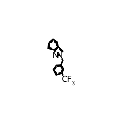 FC(F)(F)c1cccc(Cn2cc3ccccc3n2)c1